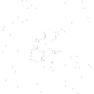 CN1CCCC(Nc2ccc(F)cc2)=C1C=N